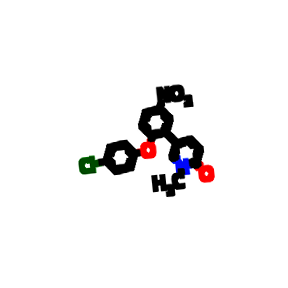 Cn1cc(-c2cc([N+](=O)[O-])ccc2Oc2ccc(Cl)cc2)ccc1=O